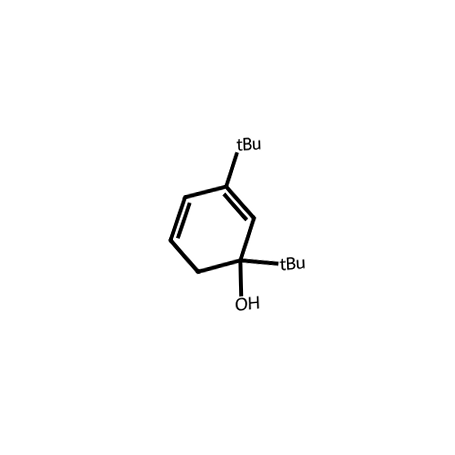 CC(C)(C)C1=CC(O)(C(C)(C)C)CC=C1